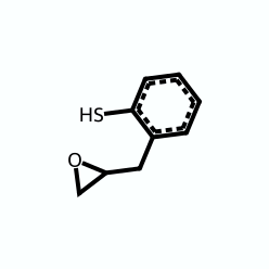 Sc1ccccc1CC1CO1